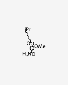 COc1cc(C(N)=O)ccc1OC(=O)CCCCC=CC(C)C